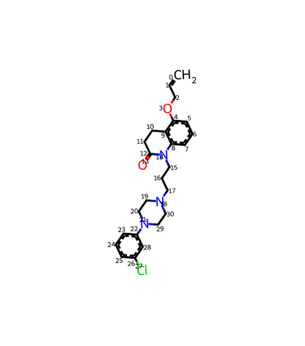 C=CCOc1cccc2c1CCC(=O)N2CCCN1CCN(c2cccc(Cl)c2)CC1